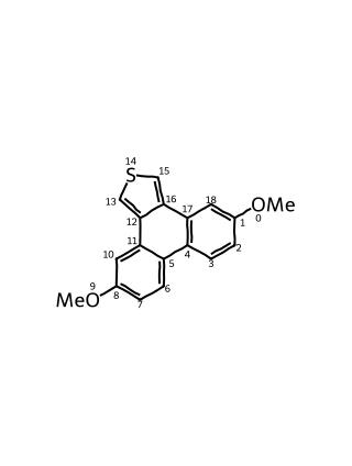 COc1ccc2c3ccc(OC)cc3c3cscc3c2c1